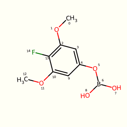 COc1cc(OB(O)O)cc(OC)c1F